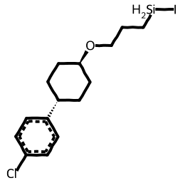 Clc1ccc([C@H]2CC[C@H](OCCC[SiH2]I)CC2)cc1